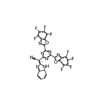 N#C/C(=C1\N=C2C=CC=CC2N1)c1nc(-c2nc3c(F)c(F)c(F)c(F)c3o2)nc(-c2nc3c(F)c(F)c(F)c(F)c3o2)n1